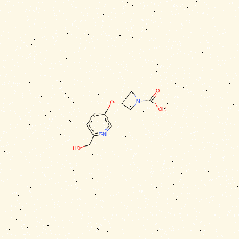 O=C(O)N1CC(Oc2ccc(CO)nc2)C1